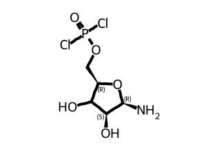 N[C@@H]1O[C@H](COP(=O)(Cl)Cl)C(O)[C@@H]1O